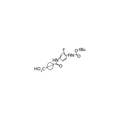 CC(C)(C)OC(=O)NCc1ccc(NC(=O)C23CCC(C(=O)O)(CC2)CC3)cc1F